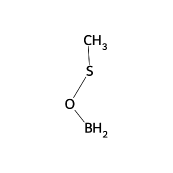 BOSC